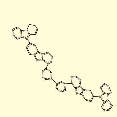 C1=Cc2c(c3ccccc3n2-c2ccc3sc4c(-c5cccc(-c6cccc(-c7cccc8c7sc7ccc(-n9c%10ccccc%10c%10ccccc%109)cc78)c6)c5)cccc4c3c2)CC1